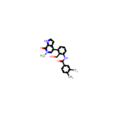 Cc1ccc(C(=O)Nc2cccc(-c3cn(C)c(=O)c4[nH]ccc34)c2CO)cc1C(F)(F)F